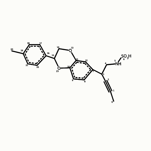 CC#CC(CNS(=O)(=O)O)c1ccc2c(c1)OCC(c1ccc(C)cc1)O2